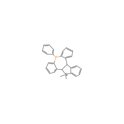 C[Si]1(C)c2ccccc2C2c3ccccc3P(c3ccccc3)c3ccccc3C21